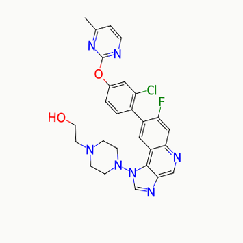 Cc1ccnc(Oc2ccc(-c3cc4c(cc3F)ncc3ncn(N5CCN(CCO)CC5)c34)c(Cl)c2)n1